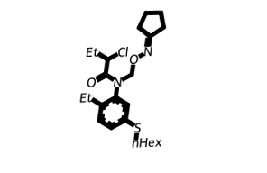 CCCCCCSc1ccc(CC)c(N(CON=C2CCCC2)C(=O)C(Cl)CC)c1